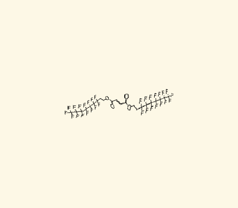 O=C(/C=C/C(=O)OCCC(F)(F)C(F)(F)C(F)(F)C(F)(F)C(F)(F)C(F)(F)C(F)(F)F)OCCC(F)(F)C(F)(F)C(F)(F)C(F)(F)C(F)(F)C(F)(F)C(F)(F)F